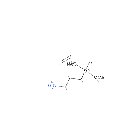 C=C.CO[Si](C)(CCCN)OC